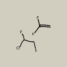 C=C(F)F.FCC(F)Cl